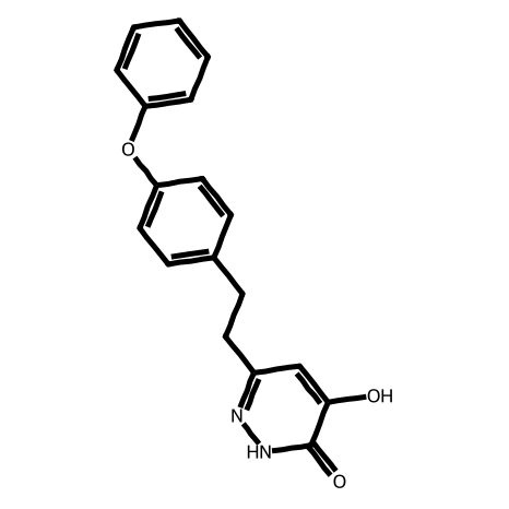 O=c1[nH]nc(CCc2ccc(Oc3ccccc3)cc2)cc1O